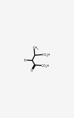 CCC(C(=O)C(=O)O)C(C)C(=O)O